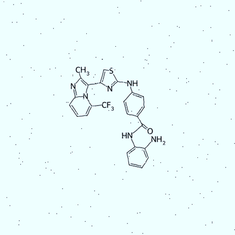 Cc1nc2cccc(C(F)(F)F)n2c1-c1csc(Nc2ccc(C(=O)Nc3ccccc3N)cc2)n1